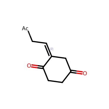 CC(=O)C/C=C1/CC(=O)CCC1=O